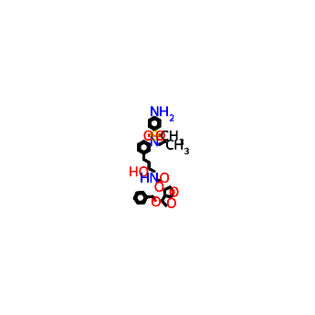 CC(C)CN(c1cccc(CCC(O)CNC(=O)OC2COC3OCC(OCc4ccccc4)C23)c1)S(=O)(=O)c1ccc(N)cc1